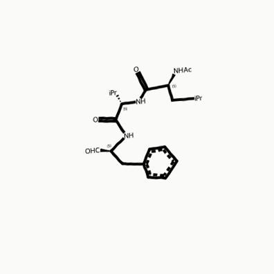 CC(=O)N[C@@H](CC(C)C)C(=O)N[C@H](C(=O)N[C@H](C=O)Cc1ccccc1)C(C)C